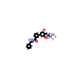 CN(C)C=C1C(=O)CC(c2cccc(C(=O)NCCc3ccccc3)c2)CC1=O